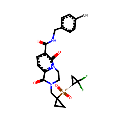 N#Cc1ccc(CNC(=O)c2ccc3n(c2=O)CCN(CC2(S(=O)(=O)[C@@H]4CC4(F)F)CC2)C3=O)cc1